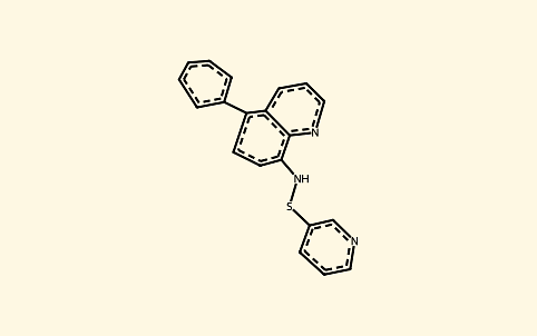 c1ccc(-c2ccc(NSc3cccnc3)c3ncccc23)cc1